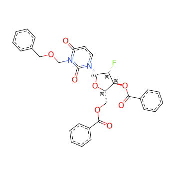 O=C(OC[C@@H]1O[C@H](n2ccc(=O)n(COCc3ccccc3)c2=O)[C@H](F)[C@H]1OC(=O)c1ccccc1)c1ccccc1